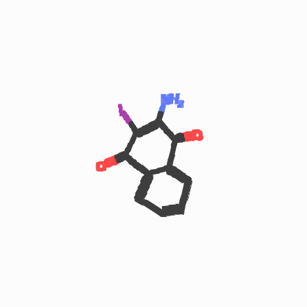 NC1=C(I)C(=O)c2ccccc2C1=O